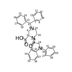 O=C(O)C1CN(C(c2ccccc2)c2ccccc2)CCN1C(=O)CN(c1ccccc1)c1ccccc1